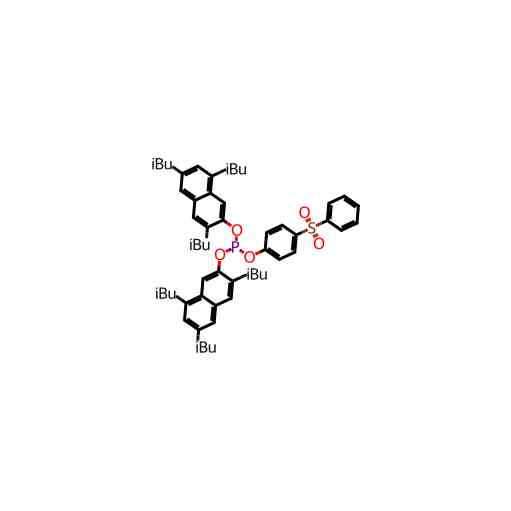 CCC(C)c1cc(C(C)CC)c2cc(OP(Oc3ccc(S(=O)(=O)c4ccccc4)cc3)Oc3cc4c(C(C)CC)cc(C(C)CC)cc4cc3C(C)CC)c(C(C)CC)cc2c1